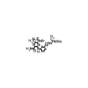 CN[C@@H](C)CNCCc1cccc(Nc2nc(N(C)C(C)C)c(C)nc2C(N)=O)c1